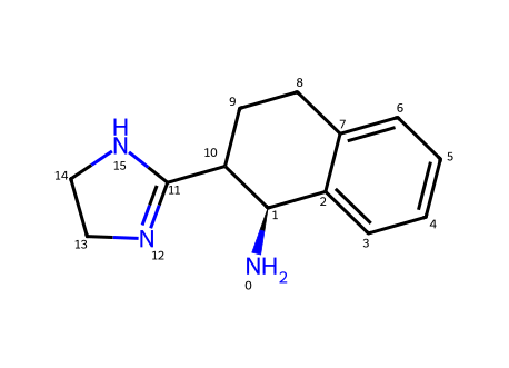 N[C@@H]1c2ccccc2CCC1C1=NCCN1